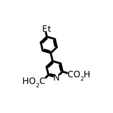 CCc1ccc(-c2cc(C(=O)O)nc(C(=O)O)c2)cc1